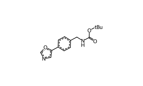 CC(C)(C)OC(=O)NCc1ccc(-c2cnco2)cc1